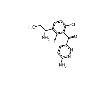 CC[C@@H](N)c1ccc(Cl)c(C(=O)c2ccc(N)nn2)c1F